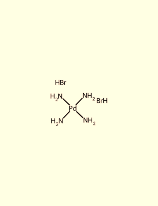 Br.Br.[NH2][Pd]([NH2])([NH2])[NH2]